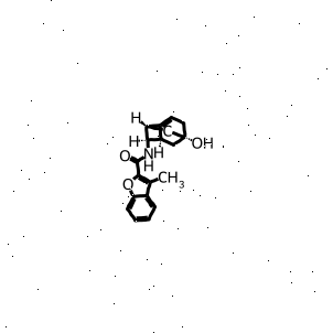 Cc1c(C(=O)N[C@@H]2[C@@H]3C[C@]4(O)CC=C3[C@@H]2C4)oc2ccccc12